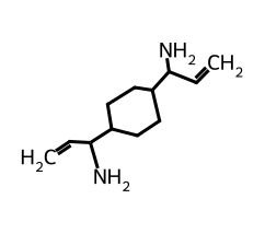 C=CC(N)C1CCC(C(N)C=C)CC1